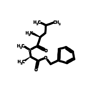 CC(C)C[C@H](N)C(=O)N(C)[C@@H](C)C(=O)OCc1ccccc1